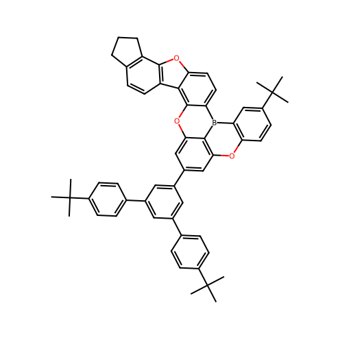 CC(C)(C)c1ccc(-c2cc(-c3ccc(C(C)(C)C)cc3)cc(-c3cc4c5c(c3)Oc3c(ccc6oc7c8c(ccc7c36)CCC8)B5c3cc(C(C)(C)C)ccc3O4)c2)cc1